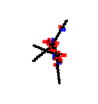 CCCCCCCCCCCCCC(=O)N[C@H]1[C@H](OC[C@H]2O[C@H](O)[C@@](NC(=O)CCCCCCCNC(=O)CCCCC)(C(C)OP(=O)(O)O)[C@@H](OC(=O)CCCCCCCCCCCCC)[C@@H]2O)O[C@H](CO)[C@@H](OP(=O)(O)O)[C@@H]1OC(=O)CNC(=O)CCCCCCCCCCC